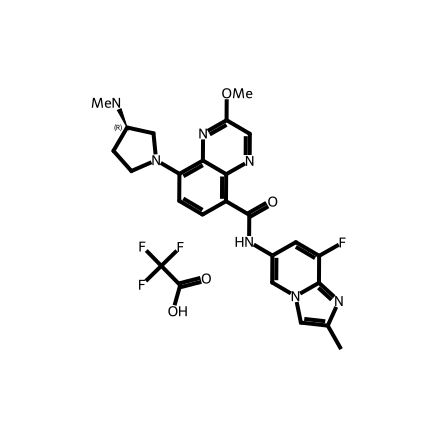 CN[C@@H]1CCN(c2ccc(C(=O)Nc3cc(F)c4nc(C)cn4c3)c3ncc(OC)nc23)C1.O=C(O)C(F)(F)F